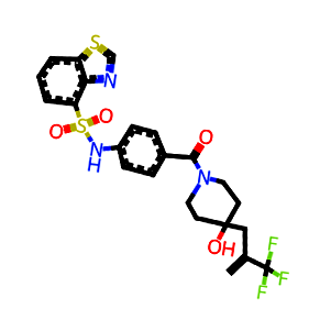 C=C(CC1(O)CCN(C(=O)c2ccc(NS(=O)(=O)c3cccc4scnc34)cc2)CC1)C(F)(F)F